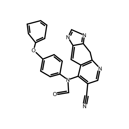 N#Cc1cnc2c(c1N(C=O)c1ccc(Oc3ccccc3)cc1)C=C1N=CN=C1C2